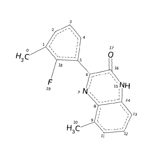 Cc1cccc(-c2nc3c(C)cccc3[nH]c2=O)c1F